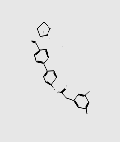 O=C(Cc1cc(F)cc(F)c1)Nc1ccc(-c2ccc(C(=O)[C@@H]3CCC[C@H]3C(=O)O)cc2)cc1